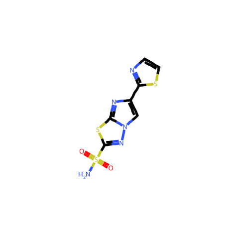 NS(=O)(=O)c1nn2cc(-c3nccs3)nc2s1